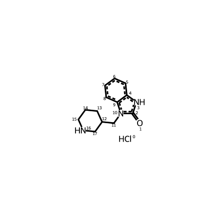 Cl.O=c1[nH]c2ccccc2n1CC1CCCNC1